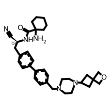 N#C[C@H](Cc1ccc(-c2ccc(CN3CCN(C4CC5(COC5)C4)CC3)cc2)cc1)NC(=O)C1(N)CCCCC1